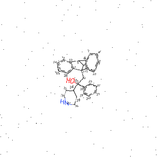 OC(CC12CC(c3ccccc31)c1ccccc12)(c1ccccc1)C1CCNCC1